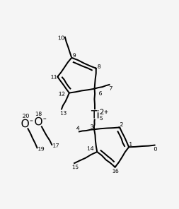 CC1=C[C](C)([Ti+2][C]2(C)C=C(C)C=C2C)C(C)=C1.C[O-].C[O-]